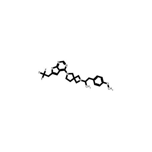 COc1ccc(CC(C)N2CC3(CCN(c4ncnc5sc(CC(F)(F)F)cc45)C3)C2)cc1